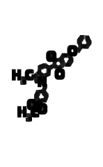 Cc1cn(Cc2ccc(S(C)(=O)=O)cc2)c2cc(C3C(=O)c4ccc(OCc5ccccc5)cc4C3=O)ccc12